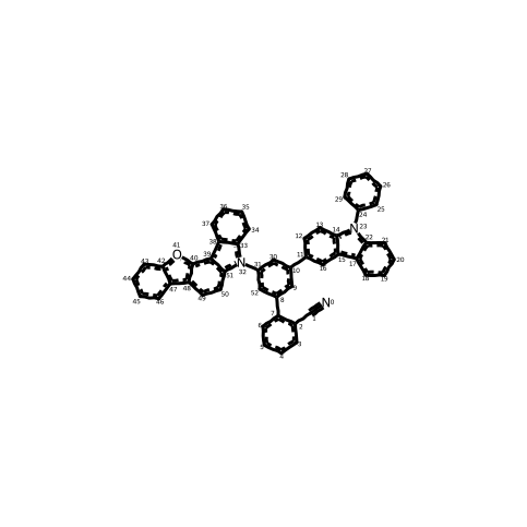 N#Cc1ccccc1-c1cc(-c2ccc3c(c2)c2ccccc2n3-c2ccccc2)cc(-n2c3ccccc3c3c4oc5ccccc5c4ccc32)c1